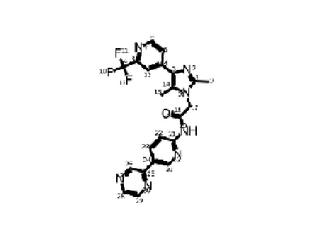 Cc1nc(-c2ccnc(C(F)(F)F)c2)c(C)n1CC(=O)Nc1ccc(-c2cnccn2)cn1